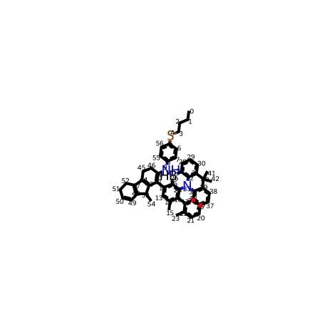 CCCCSc1ccc(NC2=C(c3cc(C)c(-c4ccccc4C)c4c3Bc3cccc5c3N4c3ccccc3C5(C)C)C3=C(CC2)C2=C(C=CCC2)C3C)cc1